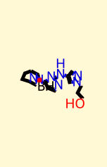 B=CN1C2CCC1CN(c1ccnc(Nc3cnn(CCCO)c3)n1)C2